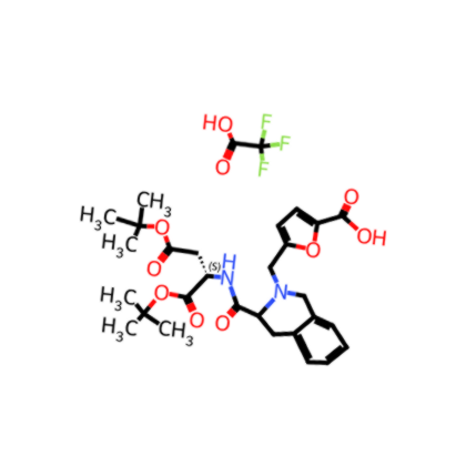 CC(C)(C)OC(=O)C[C@H](NC(=O)C1Cc2ccccc2CN1Cc1ccc(C(=O)O)o1)C(=O)OC(C)(C)C.O=C(O)C(F)(F)F